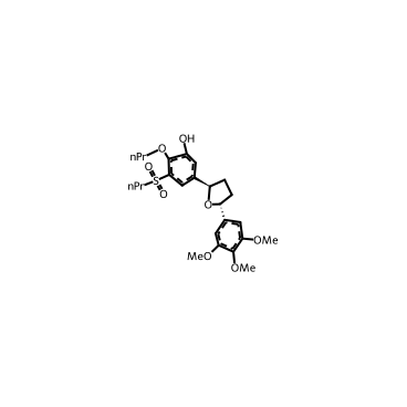 CCCOc1c(O)cc([C@H]2CC[C@H](c3cc(OC)c(OC)c(OC)c3)O2)cc1S(=O)(=O)CCC